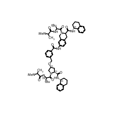 CNC(C)C(=O)NC(C(=O)N1Cc2cc(NC(=O)c3cccc(CO[C@H]4C[C@@H](C(=O)N[C@@H]5CCCc6ccccc65)N(C(=O)C(NC(=O)C(C)NC)C(C)(C)C)C4)c3)ccc2CC1C(=O)N[C@@H]1CCCc2ccccc21)C(C)(C)C